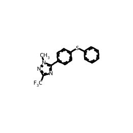 Cn1nc(C(F)(F)F)nc1-c1ccc(Sc2ccccc2)cc1